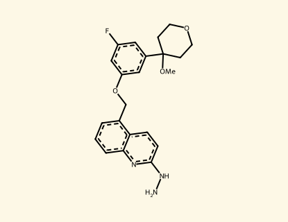 COC1(c2cc(F)cc(OCc3cccc4nc(NN)ccc34)c2)CCOCC1